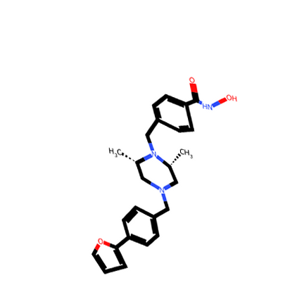 C[C@@H]1CN(Cc2ccc(-c3ccco3)cc2)C[C@H](C)N1Cc1ccc(C(=O)NO)cc1